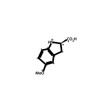 COc1ccc2c(c1)C[C@H](C(=O)O)N2